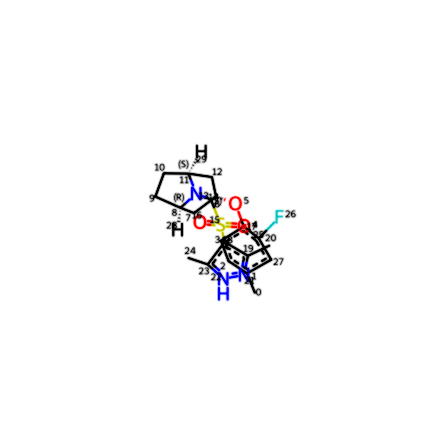 Cc1ccc(O[C@@H]2C[C@H]3CC[C@@H](C2)N3CS(=O)(=O)c2c(C)n[nH]c2C)c(F)c1